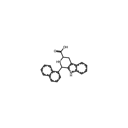 O=C(O)C1Cc2c([nH]c3ccccc23)C(c2cccc3ccccc23)N1